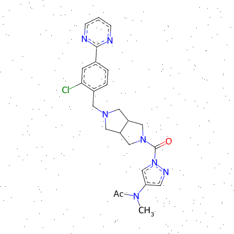 CC(=O)N(C)c1cnn(C(=O)N2CC3CN(Cc4ccc(-c5ncccn5)cc4Cl)CC3C2)c1